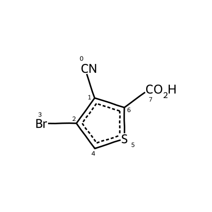 N#Cc1c(Br)csc1C(=O)O